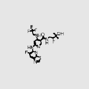 CC(C)(O)[C@H](F)CNC(=O)c1cnc(Nc2nc3scnc3cc2F)cc1NCC(F)(F)F